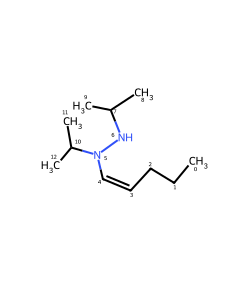 CCC/C=C\N(NC(C)C)C(C)C